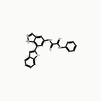 O=C(Nc1ccccc1)C(=O)Nc1cc(-c2cc3ccccc3s2)c2[nH]ncc2c1